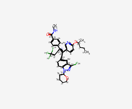 CCC[C@H](C)Oc1ccc(/C(=C(/CC(F)(F)F)c2ccc(C(=O)NC)cc2)c2ccc3c(c2)c(F)nn3C2CCCCO2)cn1